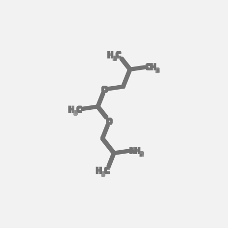 CC(C)COC(C)OCC(C)N